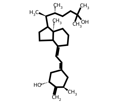 C=C1[C@H](C)C/C(=C/C=C2\CCC[C@@]3(C)C2CCC3[C@@H](C)[C@H](C)CCC(C)(C)O)C[C@H]1O